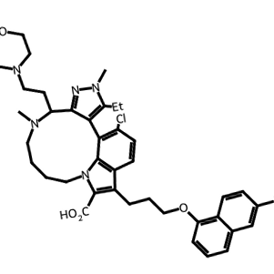 CCc1c2c(nn1C)C(CCN1CCOCC1)N(C)CCCCn1c(C(=O)O)c(CCCOc3cccc4cc(F)ccc34)c3ccc(Cl)c-2c31